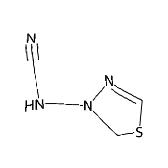 N#CNN1CSC=N1